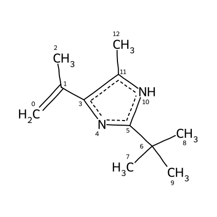 C=C(C)c1nc(C(C)(C)C)[nH]c1C